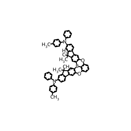 Cc1ccc(N(c2ccccc2)c2ccc3c(c2)C(C)(C)c2cc4c(cc2-3)Oc2cccc3c2B4c2cc4c(cc2O3)-c2ccc(N(c3ccccc3)c3ccc(C)cc3)cc2C4(C)C)cc1